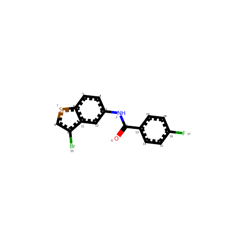 O=C(Nc1ccc2scc(Br)c2c1)c1ccc(F)cc1